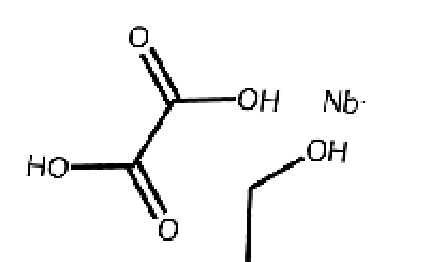 CCO.O=C(O)C(=O)O.[Nb]